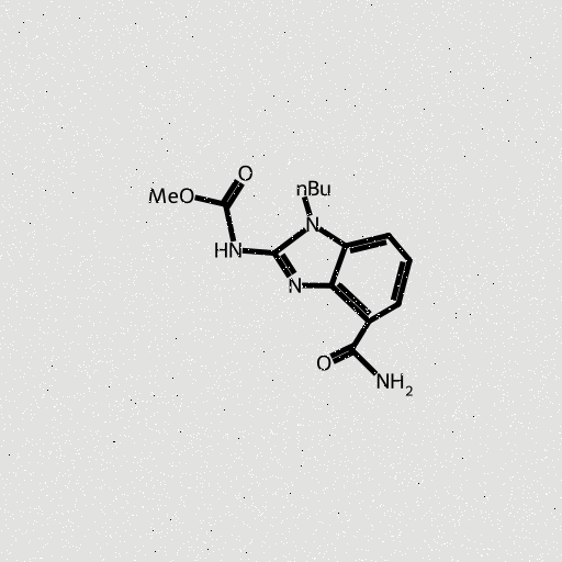 CCCCn1c(NC(=O)OC)nc2c(C(N)=O)cccc21